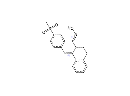 CS(=O)(=O)c1ccc(/C=C2/c3ccccc3CCC2/C=N/O)cc1